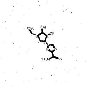 NC(=O)c1ncn([C@H]2C[C@@H](CO)C(O)[C@H]2O)n1